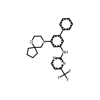 FC(F)(F)c1ccnc(Nc2cc(-c3ccccc3)cc(N3CCOC4(CCCC4)C3)c2)n1